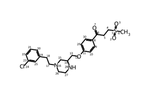 CS(=O)(=O)CCC(=O)c1ccc(OCC2CN(CCc3cccc(Cl)c3)CCN2)cc1